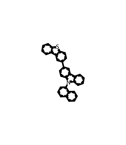 c1ccc2c(-n3c4ccccc4c4cc(-c5ccc6sc7ccccc7c6c5)ccc43)cccc2c1